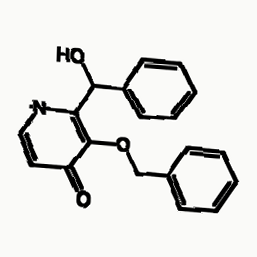 O=C1C=C[N]C(C(O)c2ccccc2)=C1OCc1ccccc1